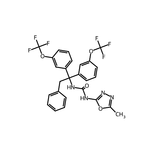 Cc1nnc(NC(=O)NC(Cc2ccccc2)(c2cccc(OC(F)(F)F)c2)c2cccc(OC(F)(F)F)c2)o1